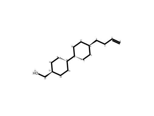 C=CCC[C@H]1CC[C@H]([C@H]2CC[C@H](CO)CC2)CC1